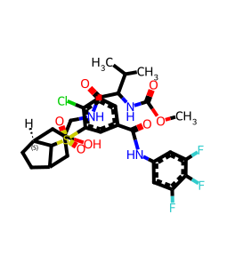 COC(=O)NC(C(=O)NCC1(O)CC2CC[C@@H](C1)C2S(=O)(=O)c1cc(C(=O)Nc2cc(F)c(F)c(F)c2)ccc1Cl)C(C)C